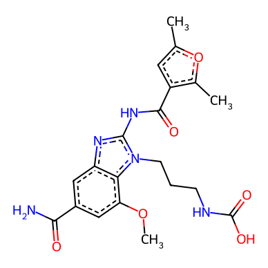 COc1cc(C(N)=O)cc2nc(NC(=O)c3cc(C)oc3C)n(CCCNC(=O)O)c12